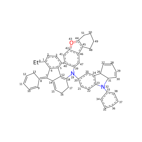 CCc1cccc2c1/C(=C1/C=CC=CC1)C1=CCCC(N(c3ccc4c(c3)C3C=CC=CC3N4c3ccccc3)c3ccc4oc5c(c4c3)CCCC5)=C12